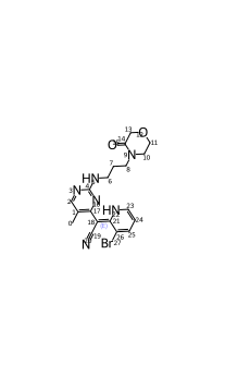 Cc1cnc(NCCCN2CCOCC2=O)nc1/C(C#N)=C1\NC=CC=C1Br